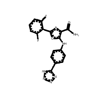 NC(=O)c1nc(-c2c(F)cccc2F)oc1Nc1ccc(-c2nnn[nH]2)cc1